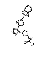 CCC(=O)N[C@H]1CC[C@@H](n2nncc2-c2ccc(-c3nc4ccccc4o3)cn2)C1